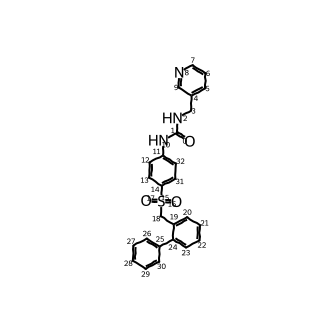 O=C(NCc1cccnc1)Nc1ccc(S(=O)(=O)Cc2ccccc2-c2ccccc2)cc1